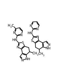 CC1Cc2sc(Nc3ncccn3)nc2-c2cn[nH]c21.Cc1ccnc(Nc2nc3c(s2)CC(C)c2[nH]ncc2-3)n1